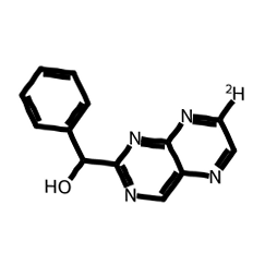 [2H]c1cnc2cnc(C(O)c3ccccc3)nc2n1